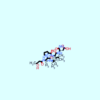 CC(C)C[C@H](NC(=O)C1CCCN1C(C(=O)NC(C)(C)C)[C@H](C)NC(=O)CC(C)O)C(O)N[C@@H](CC(=O)O)C(N)=O